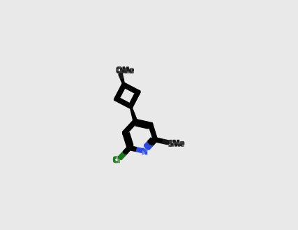 CO[C@H]1C[C@@H](c2cc(Cl)nc(SC)c2)C1